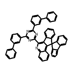 c1ccc(-c2cccc(-c3nc(-c4cccc(-c5ccccc5)c4)nc(-c4nc5ccccc5c5c4-c4ccccc4C54c5ccccc5-c5ccccc54)n3)c2)cc1